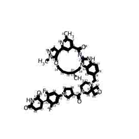 Cc1cc2cc(n1)-c1cnn(C)c1OCCC[C@@H](C)CN1/C(=N/C2=O)Nc2ccc(CN3CCN(C(=O)[C@@H]4CCN(c5cc(F)c([C@H]6CCC(=O)NC6=O)c(F)c5)C4)CC34COC4)cc21